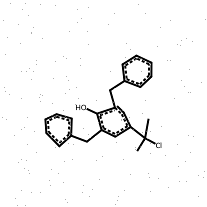 CC(C)(Cl)c1cc(Cc2ccccc2)c(O)c(Cc2ccccc2)c1